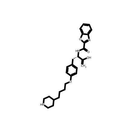 C=C(O)[C@H](Cc1ccc(OCCCCC2CCNCC2)cc1)NC(=O)c1nc2ccccc2o1